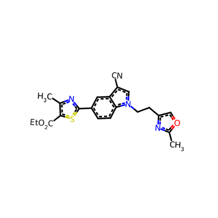 CCOC(=O)c1sc(-c2ccc3c(c2)c(C#N)cn3CCc2coc(C)n2)nc1C